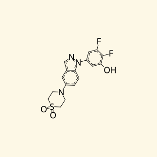 O=S1(=O)CCN(c2ccc3c(cnn3-c3cc(O)c(F)c(F)c3)c2)CC1